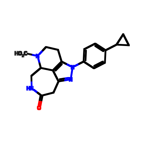 O=C1Cc2nn(-c3ccc(C4CC4)cc3)c3c2C(CN1)N(C(=O)O)CC3